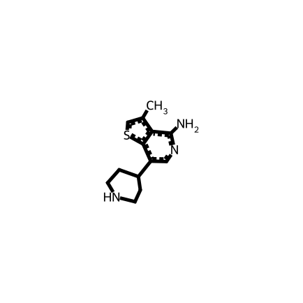 Cc1csc2c(C3CCNCC3)cnc(N)c12